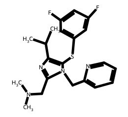 CC(C)c1nc(CN(C)C)n(Cc2ccccn2)c1Sc1cc(F)cc(F)c1